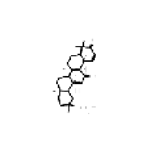 CC1(C(=O)O)CC[C@]2(C)CC[C@]3(C)C(=CC(=O)[C@@H]4[C@@]5(C)C=CC(=O)C(C)(C)C5CC[C@]43C)[C@@H]2C1